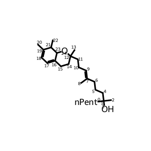 CCCCCC(C)(O)CCC/C(C)=C/CCC1(C)CCC2=CC=C(C)C(C)C2O1